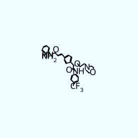 Nc1ccccc1NC(=O)/C=C/c1ccc(C(OCCN2CCOCC2)C(=O)Nc2ccc(C(F)(F)F)cc2)cc1